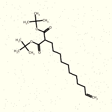 C=CCCCCCCCCCC(C(=O)OC(C)(C)C)C(=O)OC(C)(C)C